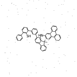 CC1(C)c2ccccc2-c2ccc(-c3cccc(-c4cccc(-c5ccccc5)c4S)c3)c(Nc3ccc4c5c(c6ccccc6c4c3)C=CCC5)c21